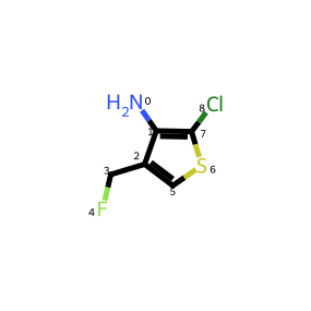 Nc1c(CF)csc1Cl